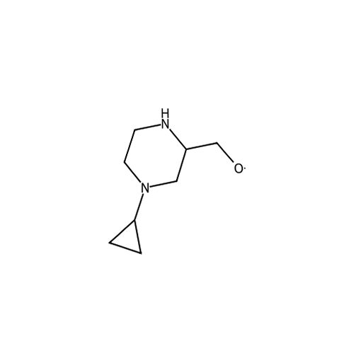 [O]CC1CN(C2CC2)CCN1